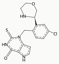 O=c1[nH]c(=S)n(Cc2ccc(Cl)cc2[C@@H]2COCCN2)c2cc[nH]c12